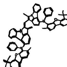 C=c1/c(=C\c2c(C)n3c4ccccc4c4c(N(c5ccccc5)c5c(C)ccc6c5oc5c(C(C)(C)C)cccc56)ccc2c43)n2c3ccccc3c3c(N(c4ccccc4)c4c(C)ccc5c4oc4c(C(C)(C)C)cccc45)ccc1c32